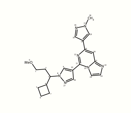 COCCC(C1CCC1)n1cc(-c2nc(-c3cnn(C)c3)cc3nccn23)cn1